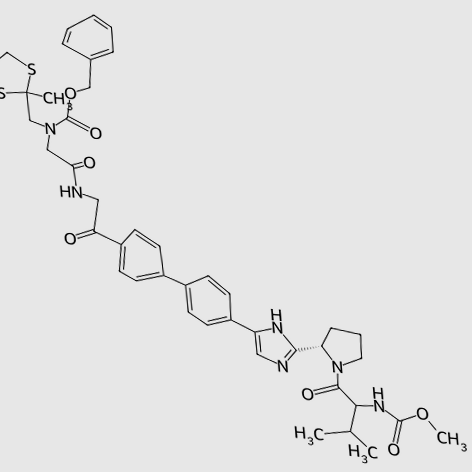 COC(=O)NC(C(=O)N1CCC[C@H]1c1ncc(-c2ccc(-c3ccc(C(=O)CNC(=O)CN(CC4(C)SCCS4)C(=O)OCc4ccccc4)cc3)cc2)[nH]1)C(C)C